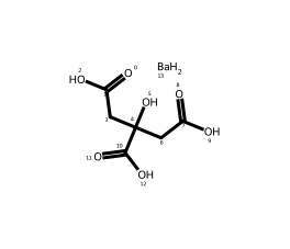 O=C(O)CC(O)(CC(=O)O)C(=O)O.[BaH2]